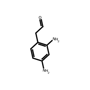 Nc1ccc(C[C]=O)c(N)c1